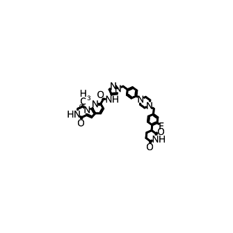 C[C@@H]1CNC(=O)c2cc3ccc(C(=O)Nc4cnn(Cc5ccc(N6CCN(Cc7ccc(C8CCC(=O)NC8=O)c(F)c7)CC6)cc5)c4)nc3n21